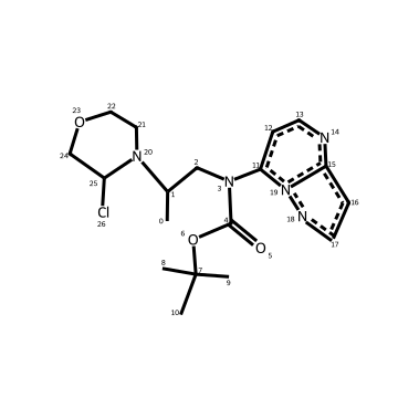 CC(CN(C(=O)OC(C)(C)C)c1ccnc2ccnn12)N1CCOCC1Cl